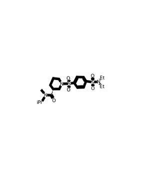 CCN(CC)S(=O)(=O)c1ccc(S(=O)(=O)N2CCC[C@@H](C(=O)N(C)C(C)C)C2)cc1